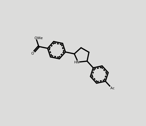 COC(=O)c1ccc(C2CCC(c3ccc(C(C)=O)cc3)N2)cc1